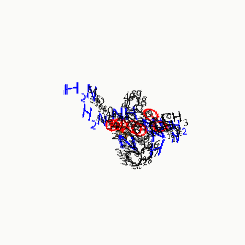 C[C@H](N)C(=O)[N+](C)(C(=O)C(NC(=O)c1cccnc1)C(c1cscn1)c1cccc2ccccc12)[C@@H](CC1CCCCC1)[C@@H](O)CC(=O)N[C@@H](CCCCN)C(N)=O